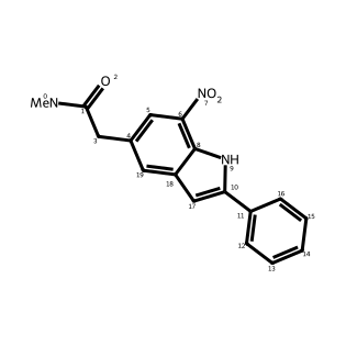 CNC(=O)Cc1cc([N+](=O)[O-])c2[nH]c(-c3ccccc3)cc2c1